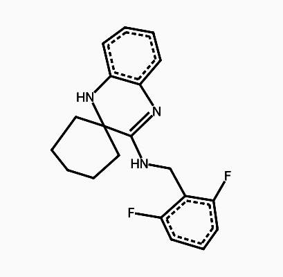 Fc1cccc(F)c1CNC1=Nc2ccccc2NC12CCCCC2